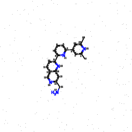 Cc1cc(-c2cccc(-c3ccc4cnc(CN)cc4n3)n2)cc(C)n1